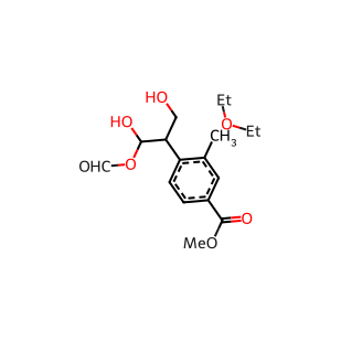 CCOCC.COC(=O)c1ccc(C(CO)C(O)OC=O)c(C)c1